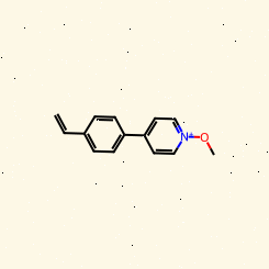 C=Cc1ccc(-c2cc[n+](OC)cc2)cc1